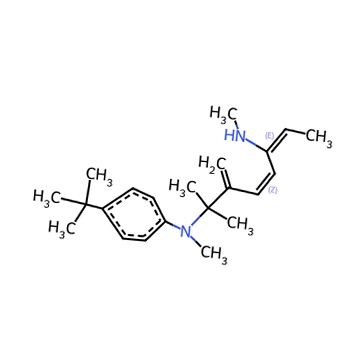 C=C(/C=C\C(=C/C)NC)C(C)(C)N(C)c1ccc(C(C)(C)C)cc1